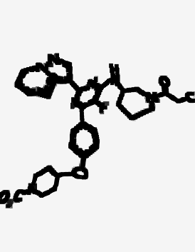 N#CCC(=O)N1CCCC(Nc2nc(-c3cnn4ccccc34)nc(-c3ccc(OC4CCN(C(=O)O)CC4)cc3)c2F)C1